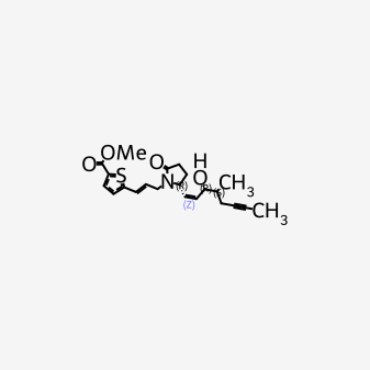 CC#CC[C@H](C)[C@@H](O)/C=C\[C@H]1CCC(=O)N1CC=Cc1ccc(C(=O)OC)s1